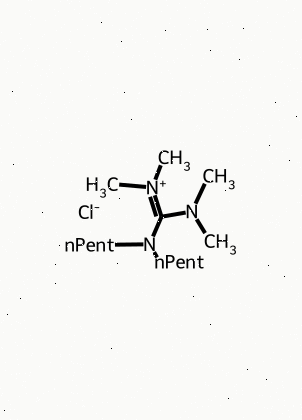 CCCCCN(CCCCC)C(N(C)C)=[N+](C)C.[Cl-]